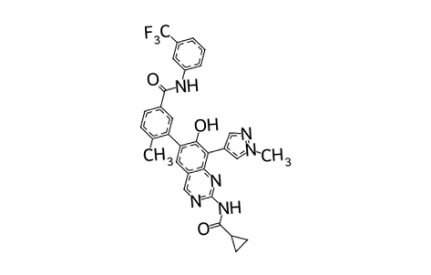 Cc1ccc(C(=O)Nc2cccc(C(F)(F)F)c2)cc1-c1cc2cnc(NC(=O)C3CC3)nc2c(-c2cnn(C)c2)c1O